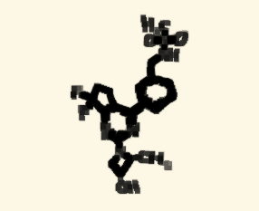 C[C@H]1[C@H](O)CN1c1nc(-c2cccc(CNS(C)(=O)=O)c2)c2c(n1)C(F)(F)CC2